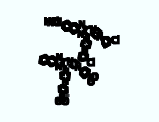 Cl.Cl.Clc1cccc(N2CCN(Cc3nc4cc5ccccc5cc4nc3CN3CCN(c4cccc(Cl)c4)CC3)CC2)c1.O=[N+]([O-])c1ccc(N2CCN(Cc3nc4cc5ccccc5cc4nc3CN3CCN(c4ccc([N+](=O)[O-])cc4)CC3)CC2)cc1